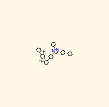 CC1(C)c2ccccc2-c2cc3c(cc21)-c1c(-c2ccc(-c4cc(-c5ccc(-c6ccccc6)cc5)nc(-c5ccccc5)n4)cc2)cccc1C3(C)C